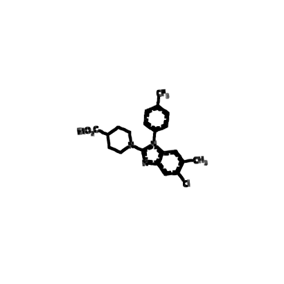 CCOC(=O)C1CCN(c2nc3cc(Cl)c(C)cc3n2-c2ccc(C(F)(F)F)cc2)CC1